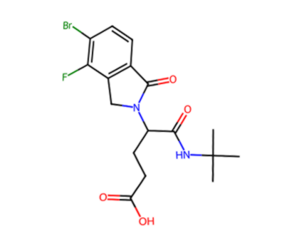 CC(C)(C)NC(=O)C(CCC(=O)O)N1Cc2c(ccc(Br)c2F)C1=O